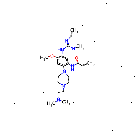 C=C/N=C(\N=C)Nc1cc(NC(=O)C=C)c(N2CCN(CCN(C)C)CC2)cc1OC